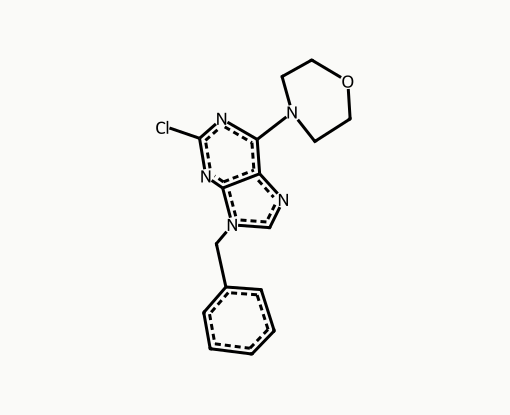 Clc1nc(N2CCOCC2)c2ncn(Cc3ccccc3)c2n1